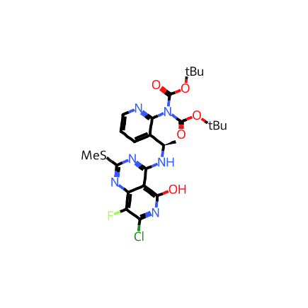 CSc1nc(N[C@H](C)c2cccnc2N(C(=O)OC(C)(C)C)C(=O)OC(C)(C)C)c2c(O)nc(Cl)c(F)c2n1